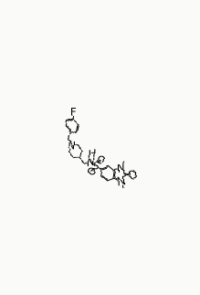 Cn1c(=O)n(C)c2cc(S(=O)(=O)NCC3CCN(Cc4ccc(F)cc4)CC3)ccc21